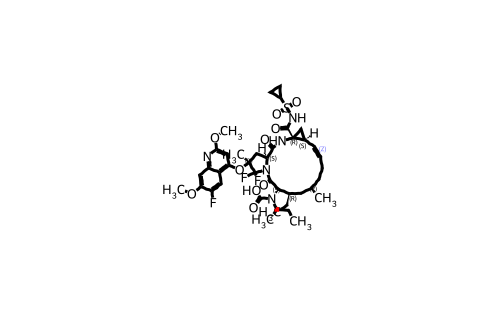 CCC(C)N(C(=O)O)[C@@H]1C(=O)N2[C@@H](C[C@@](C)(Oc3cc(OC)nc4cc(OC)c(F)cc34)C2(F)F)C(=O)N[C@]2(C(=O)NS(=O)(=O)C3CC3)C[C@H]2/C=C\CC[C@@H](C)C[C@H]1CC